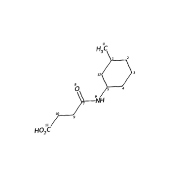 CC1CCCC(NC(=O)CCC(=O)O)C1